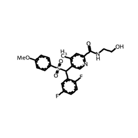 COc1ccc(S(=O)(=O)C(c2cnc(C(=O)NCCO)cc2C)c2cc(F)ccc2F)cc1